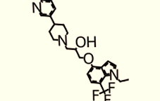 CCn1ccc2c(OC[C@H](O)CN3CCC(c4cccnc4)CC3)ccc(C(F)(F)F)c21